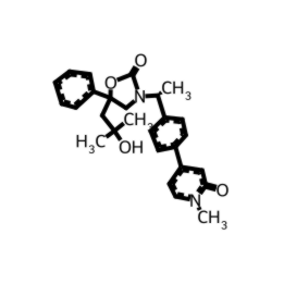 C[C@@H](c1ccc(-c2ccn(C)c(=O)c2)cc1)N1CC(CC(C)(C)O)(c2ccccc2)OC1=O